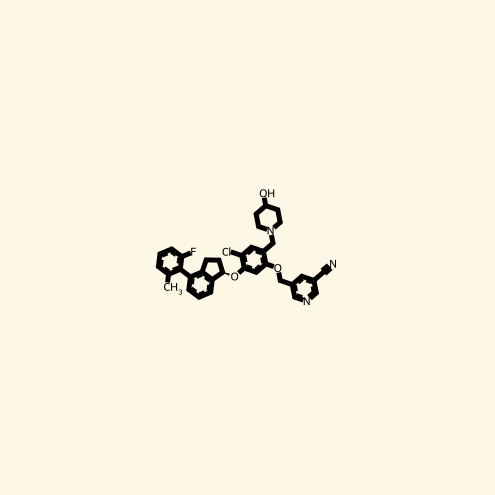 Cc1cccc(F)c1-c1cccc2c1CC[C@@H]2Oc1cc(OCc2cncc(C#N)c2)c(CN2CCC(O)CC2)cc1Cl